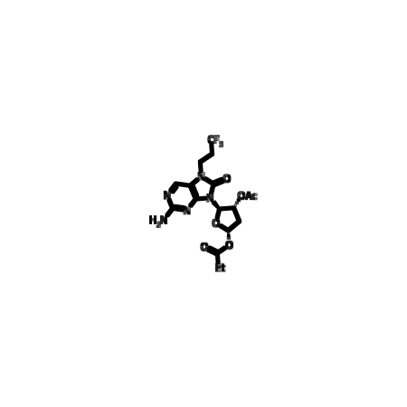 CCC(=O)O[C@H]1C[C@@H](OC(C)=O)[C@H](n2c(=O)n(CCC(F)(F)F)c3cnc(N)nc32)O1